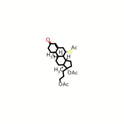 CC(=O)OCCC[C@]1(OC(C)=O)CC[C@H]2[C@@H]3[C@H](SC(C)=O)CC4=CC(=O)CC[C@]4(C)[C@H]3CC[C@@]21C